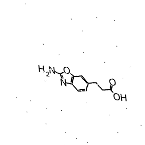 Nc1nc2ccc(CCC(=O)O)cc2o1